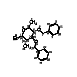 CC[C@H]1OC(C)[C@H](OCc2ccccc2)[C@@H](OCc2ccccc2)[C@@H]1C